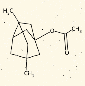 CC(=O)OC12CC3CC(C)(C1)CC3(C)C2